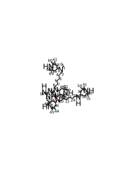 CCN(CCCCCCN(C(=N/C(=N)NC)/N=C(\C)N(CCCCCCNC1CC(C)(C)NC(C)(C)C1)C1CC(C)(C)NC(C)(C)C1)C1CC(C)(C)NC(C)(C)C1)C1CC(C)(C)NC(C)(C)C1